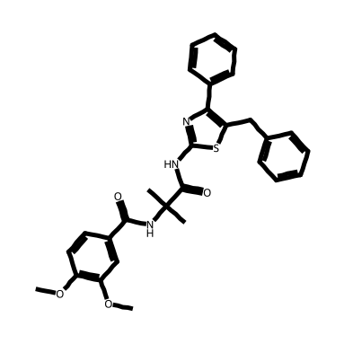 COc1ccc(C(=O)NC(C)(C)C(=O)Nc2nc(-c3ccccc3)c(Cc3ccccc3)s2)cc1OC